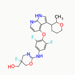 CC1OCCCC1c1c[nH]c2nccc(Oc3c(F)cc(NC4=NCC(F)(CO)CO4)cc3F)c12